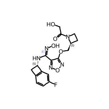 O=C(CO)N1CC[C@H]1COc1nonc1/C(=N\O)N[C@H]1Cc2ccc(F)cc21